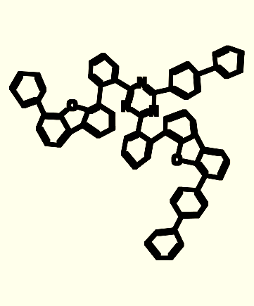 c1ccc(-c2ccc(-c3nc(-c4ccccc4-c4cccc5c4oc4c(-c6ccccc6)cccc45)nc(-c4ccccc4-c4cccc5c4oc4c(-c6ccc(-c7ccccc7)cc6)cccc45)n3)cc2)cc1